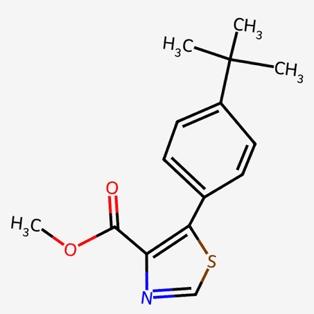 COC(=O)c1ncsc1-c1ccc(C(C)(C)C)cc1